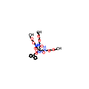 C#CCOCCOCCNC(=O)CCC(CCC(=O)NCCOCCOCC#C)(CCC(=O)NCCOCCOCC#C)NC(=O)OCC1c2ccccc2-c2ccccc21